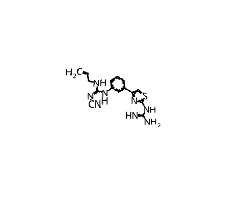 C=CCN/C(=N/C#N)Nc1cccc(-c2csc(NC(=N)N)n2)c1